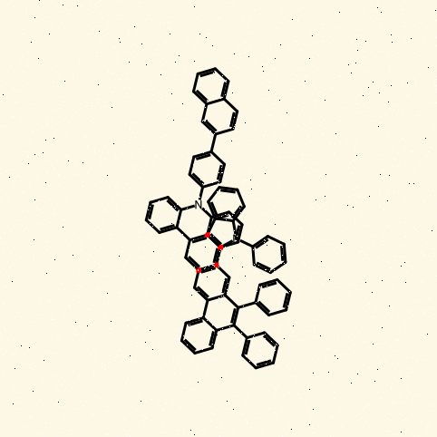 c1ccc(-c2c(-c3ccccc3)c3cc(-c4cccc(N(c5ccc(-c6ccc7ccccc7c6)cc5)c5ccccc5-c5cccc6c5c5ccccc5n6-c5ccccc5)c4)ccc3c3ccccc23)cc1